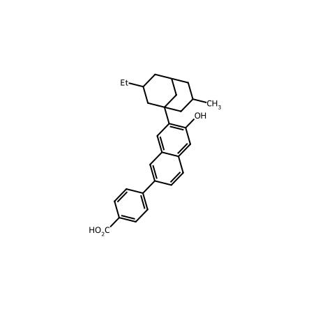 CCC1CC2CC(C)CC(c3cc4cc(-c5ccc(C(=O)O)cc5)ccc4cc3O)(C1)C2